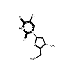 CCc1cn([C@H]2C[C@H](O)[C@@H](CNC)O2)c(=O)[nH]c1=O